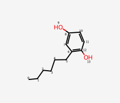 CCCCCCc1cc(O)ccc1O